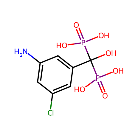 Nc1cc(Cl)cc(C(O)(P(=O)(O)O)P(=O)(O)O)c1